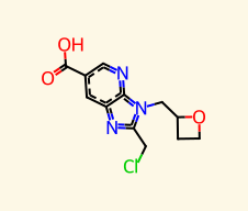 O=C(O)c1cnc2c(c1)nc(CCl)n2CC1CCO1